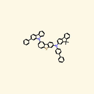 CC1(C)c2ccccc2-c2ccc(N(c3ccc(-c4ccccc4)cc3)c3ccc4c5c(sc4c3)=CCC=C(n3c4ccccc4c4ccc(-c6ccccc6)cc43)C=5)cc21